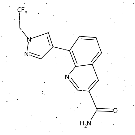 NC(=O)c1cnc2c(-c3cnn(CC(F)(F)F)c3)cccc2c1